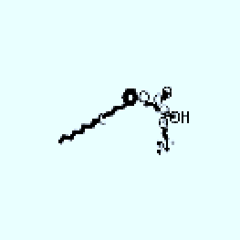 CCCCCCCCCCCCCc1cccc(OCC(COP(O)OCCC[N+](C)(C)C)OC=O)c1